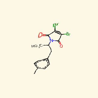 Cc1ccc(CC(C(=O)O)N2C(=O)C(Br)=C(Br)C2=O)cc1